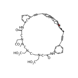 O=C(O)CN1CCN(CC(=O)O)CC(=O)Nc2cccc(c2)C#Cc2cnc3c(ccc4cc(cnc43)C#Cc3cccc(c3)NC(=O)CN(CC(=O)O)CC1)c2